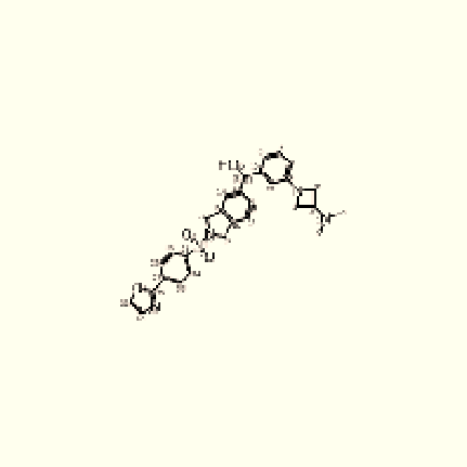 CN(C)C1CN(c2cccc([C@H](O)c3cc4c(cn3)CN(S(=O)(=O)c3ccc(-c5ncco5)cc3)C4)c2)C1